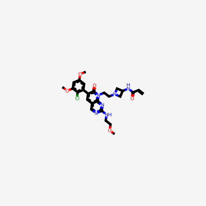 C=CC(=O)NC1CN(CCn2c(=O)c(-c3cc(OC)cc(OC)c3Cl)cc3cnc(NCCOC)nc32)C1